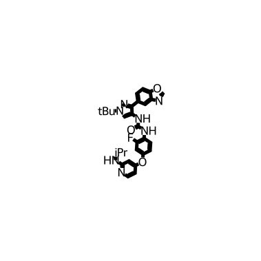 CC(C)Nc1cc(Oc2ccc(NC(=O)Nc3cn(C(C)(C)C)nc3-c3ccc4ocnc4c3)c(F)c2)ccn1